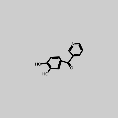 O=C(c1cccnc1)c1ccc(O)c(O)c1